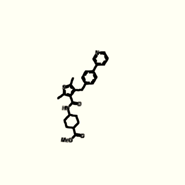 COC(=O)C1CCC(NC(=O)c2c(C)sc(C)c2Cc2ccc(-c3cccnc3)cc2)CC1